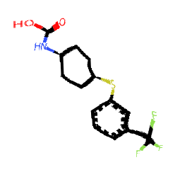 O=C(O)N[C@H]1CC[C@@H](Sc2cccc(C(F)(F)F)c2)CC1